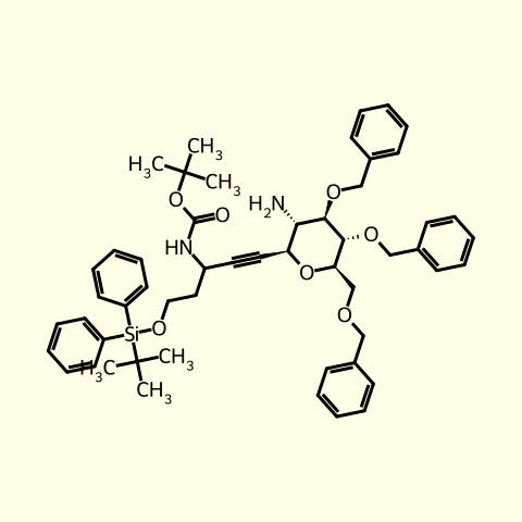 CC(C)(C)OC(=O)NC(C#C[C@@H]1O[C@H](COCc2ccccc2)[C@@H](OCc2ccccc2)[C@H](OCc2ccccc2)[C@H]1N)CCO[Si](c1ccccc1)(c1ccccc1)C(C)(C)C